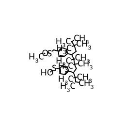 COSCc1ccc(C(CC(C)(C)C(C)C)C(C)(C)C(C)(C)CC(c2ccc(SO)cc2)C(C)(C)C(C)C)cc1